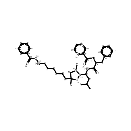 CC(C)CC(NC(=O)[C@H](Cc1ccccc1)NC(=O)c1cnccn1)B1OC(C)(CCCCCCNOC(=O)c2ccccc2)CN1C